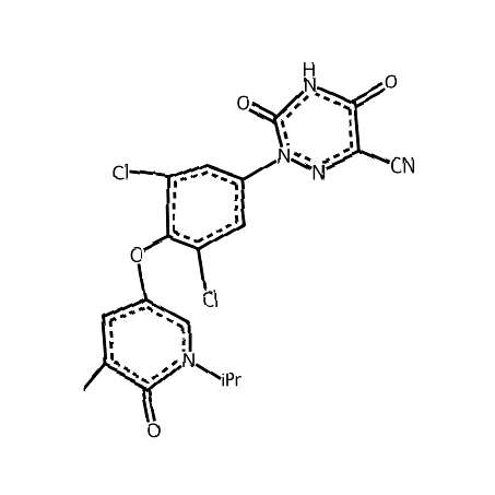 Cc1cc(Oc2c(Cl)cc(-n3nc(C#N)c(=O)[nH]c3=O)cc2Cl)cn(C(C)C)c1=O